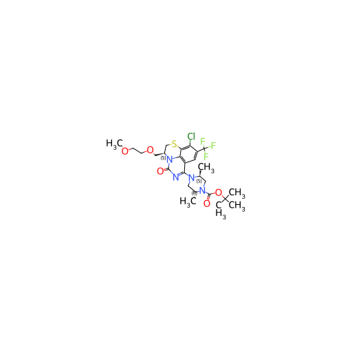 COCCOC[C@H]1CSc2c(Cl)c(C(F)(F)F)cc3c(N4C[C@@H](C)N(C(=O)OC(C)(C)C)C[C@@H]4C)nc(=O)n1c23